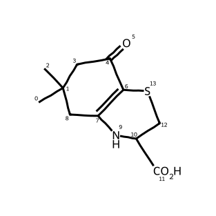 CC1(C)CC(=O)C2=C(C1)NC(C(=O)O)CS2